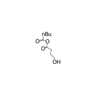 CCCCC(=O)OC(=O)CCCO